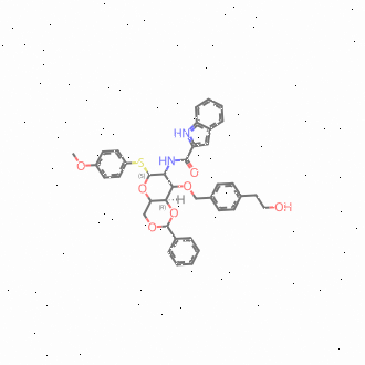 COc1ccc(S[C@@H]2OC3COC(c4ccccc4)O[C@@H]3C(OCc3ccc(CCO)cc3)C2NC(=O)c2cc3ccccc3[nH]2)cc1